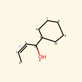 C/C=C\C(O)C1CCCCC1